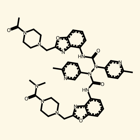 CC(=O)N1CCN(Cc2nc3c(NC(=O)N(c4ccc(C)nc4)N(C(=O)Nc4cccc5oc(CN6CCN(C(=O)N(C)C)CC6)nc45)c4ccc(C)nc4)cccc3o2)CC1